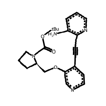 CC(C)(C)OC(=O)N1CCC[C@@H]1COc1cnccc1C#Cc1ncccc1N